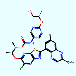 COc1cnc2c(-c3nc4cc(F)c(O[C@@H](C)[C@@H](C)OC(=O)Nc5cnc(O[C@@H](C)CO)nc5)nc4s3)cc(C)cc2n1